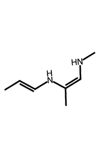 C/C=C/N/C(C)=C\NC